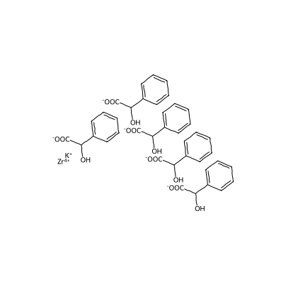 O=C([O-])C(O)c1ccccc1.O=C([O-])C(O)c1ccccc1.O=C([O-])C(O)c1ccccc1.O=C([O-])C(O)c1ccccc1.O=C([O-])C(O)c1ccccc1.[K+].[Zr+4]